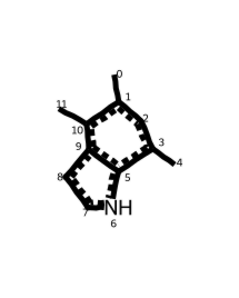 Cc1cc(C)c2[nH]ccc2c1C